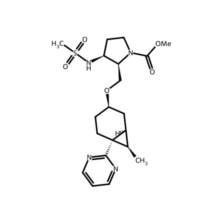 COC(=O)N1CC[C@H](NS(C)(=O)=O)[C@@H]1CO[C@@H]1CC[C@]2(c3ncccn3)[C@H](C)[C@@H]2C1